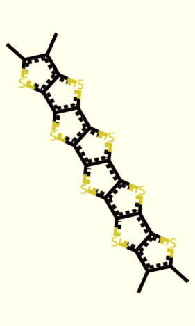 Cc1sc2c(sc3c2sc2c3sc3c4sc5c6sc(C)c(C)c6sc5c4sc23)c1C